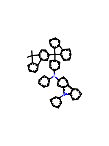 CC1(C)c2ccccc2-c2cc(C3(c4ccc(N(c5ccccc5)c5ccc6c7ccccc7n(-c7ccccc7)c6c5)cc4)c4ccccc4-c4ccccc43)ccc21